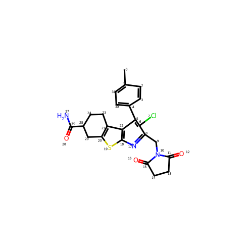 Cc1ccc(-c2c(Cl)c(CN3C(=O)CCC3=O)nc3sc4c(c23)CCC(C(N)=O)C4)cc1